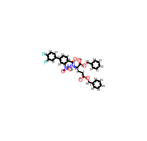 O=C(CC[C@@H](NC(=O)c1ccc(-c2ccc(F)c(F)c2)cc1[N+](=O)[O-])C(=O)OCc1ccccc1)OCc1ccccc1